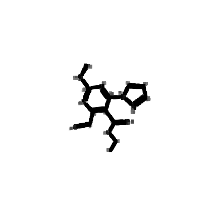 CCOC(=O)c1c(C=O)nc(SC)nc1-n1cccn1